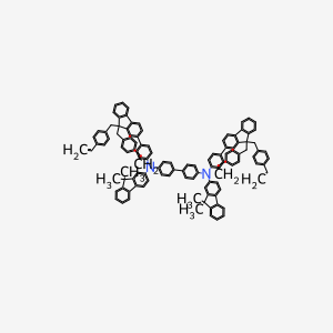 C=Cc1ccc(CC2(Cc3ccc(C=C)cc3)c3ccccc3-c3ccc(-c4ccc(N(c5ccc(-c6ccc(N(c7ccc(-c8ccc9c(c8)C(Cc8ccc(C=C)cc8)(Cc8ccc(C=C)cc8)c8ccccc8-9)cc7)c7ccc8c(c7)C(C)(C)c7ccccc7-8)cc6)cc5)c5ccc6c(c5)C(C)(C)c5ccccc5-6)cc4)cc32)cc1